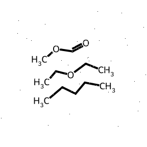 CCCCC.CCOCC.COC=O